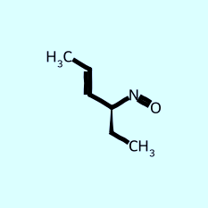 C/C=C/[C@H](CC)N=O